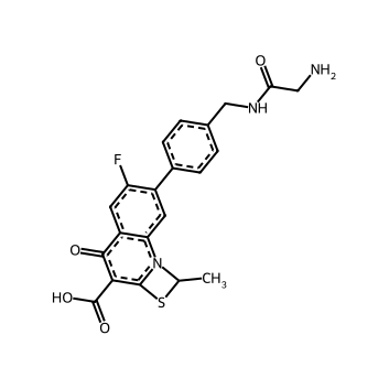 CC1Sc2c(C(=O)O)c(=O)c3cc(F)c(-c4ccc(CNC(=O)CN)cc4)cc3n21